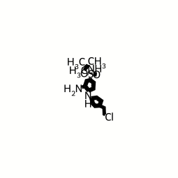 CC(C)(C)NS(=O)(=O)c1ccc(Nc2ccc(CCCl)cc2)c(N)c1